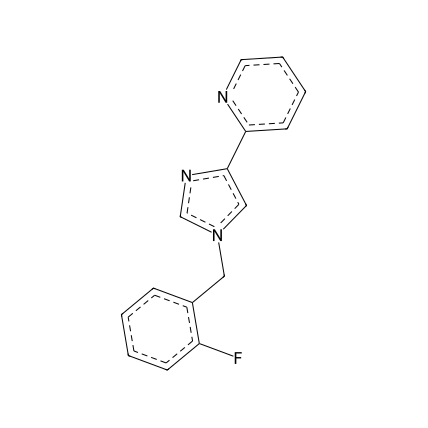 Fc1ccccc1Cn1cnc(-c2ccccn2)c1